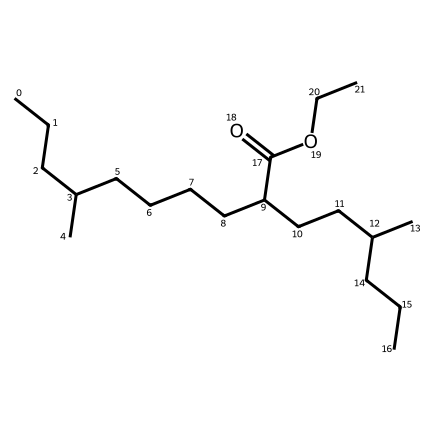 CCCC(C)CCCCC(CCC(C)CCC)C(=O)OCC